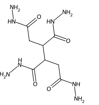 NNC(=O)CC(C(=O)NN)C(CC(=O)NN)C(=O)NN